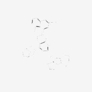 Oc1cc(N2CCc3c(nc(OCC45CC(F)CN4C4CCCCC4C5)nc3N3CC4CCC(C3)N4)C2)c2c(F)cccc2c1